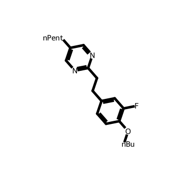 CCCCCc1cnc(CCc2ccc(OCCCC)c(F)c2)nc1